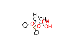 C[C@@H]1C([C@H](O)CO)O[C@H](Sc2ccccc2)C(OCc2ccccc2)[C@H]1C